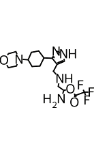 NC(CNCc1c[nH]nc1C1CCC(N2CCOCC2)CC1)OC(=O)C(F)(F)F